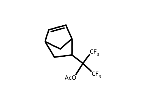 CC(=O)OC(C1CC2C=CC1C2)(C(F)(F)F)C(F)(F)F